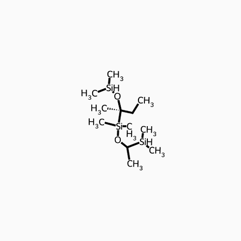 CC[C@](C)(O[SiH](C)C)[Si](C)(C)OC(C)[SiH](C)C